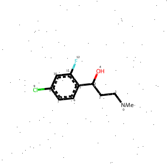 CNCCC(O)c1ccc(Cl)cc1F